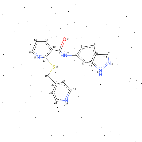 O=C(Nc1ccc2cn[nH]c2c1)c1cccnc1SCc1ccncc1